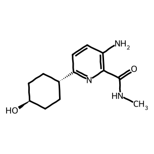 CNC(=O)c1nc([C@H]2CC[C@H](O)CC2)ccc1N